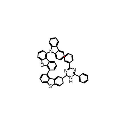 C1=c2sc3cccc(-c4cccc5c4oc4cccc(-n6c7ccccc7c7ccccc76)c45)c3c2=CC(C2N=C(c3ccccc3)N=C(c3ccccc3)N2)C1